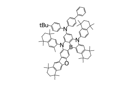 Cc1cc2c(cc1N1c3cc4c(cc3B3c5cc6c(cc5N(c5ccc7c(c5)C(C)(C)CCC7(C)C)c5cc(N(c7ccc(-c8ccccc8)cc7)c7ccc(C(C)(C)C)cc7)cc1c53)C(C)(C)CCC6(C)C)oc1cc3c(cc14)C(C)(C)CCC3(C)C)C(C)(C)CCC2(C)C